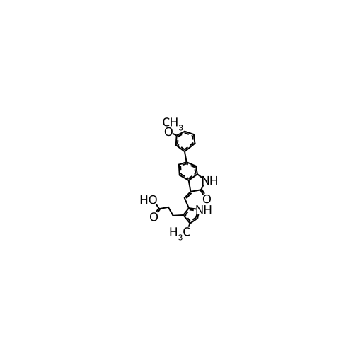 COc1cccc(-c2ccc3c(c2)NC(=O)C3=Cc2[nH]cc(C)c2CCC(=O)O)c1